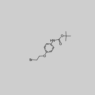 CC(C)(C)OC(=O)Nc1ccc(OCCBr)cc1